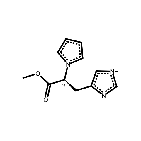 COC(=O)[C@H](Cc1c[nH]cn1)n1cccc1